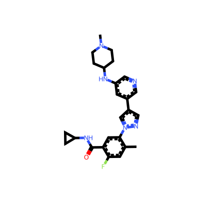 Cc1cc(F)c(C(=O)NC2CC2)cc1-n1cc(-c2cncc(NC3CCN(C)CC3)c2)cn1